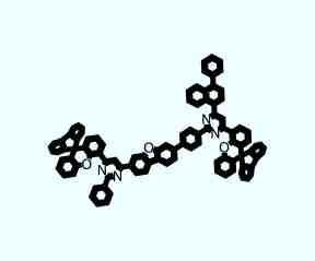 c1ccc(-c2nc(-c3ccc4c(c3)oc3cc(-c5ccc(-c6nc(-c7cccc8c7Oc7ccccc7C87c8ccccc8-c8ccccc87)cc(-c7ccc(-c8ccccc8)c8ccccc78)n6)cc5)ccc34)cc(-c3cccc4c3Oc3ccccc3C43c4ccccc4-c4ccccc43)n2)cc1